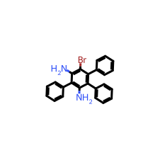 Nc1c(Br)c(-c2ccccc2)c(-c2ccccc2)c(N)c1-c1ccccc1